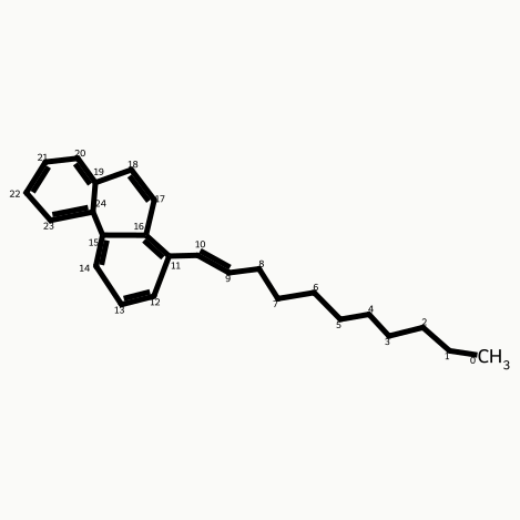 CCCCCCCCCC=Cc1cccc2c1ccc1ccccc12